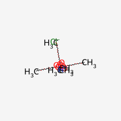 CCCCCCCCCCCCCCCCCC(=O)OCC(COC(=O)CCCCCCCCCCCCCCCCC)(COC(=O)CCCCCCCCCCCCCCCCC)C[N+](C)(C)C.[Cl-]